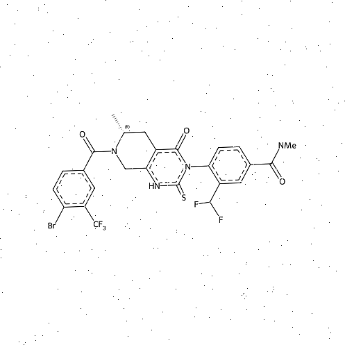 CNC(=O)c1ccc(-n2c(=S)[nH]c3c(c2=O)C[C@@H](C)N(C(=O)c2ccc(Br)c(C(F)(F)F)c2)C3)c(C(F)F)c1